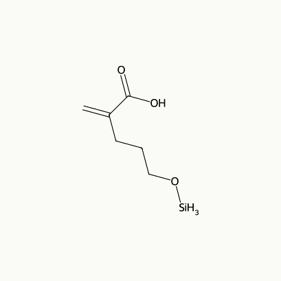 C=C(CCCO[SiH3])C(=O)O